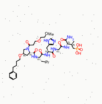 COCCOCCC(=O)N1C[C@H](OCCCCc2ccccc2)C[C@H]1C(=O)N[C@@H](CC(C)C)C(=O)N[C@@H](Cc1cnc[nH]1)C(=O)N[C@@H](C)C(=O)N[C@H](C(N)=O)[C@@H](C)CP(=O)(O)O